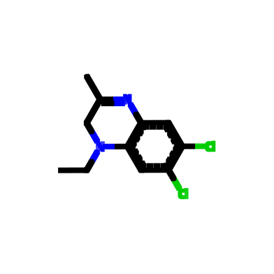 CCN1CC(C)=Nc2cc(Cl)c(Cl)cc21